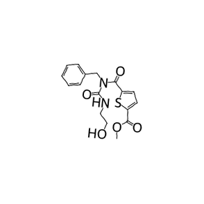 COC(=O)c1ccc(C(=O)N(Cc2ccccc2)C(=O)NCCO)s1